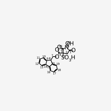 O=C1CC(C(=O)OCC2c3ccccc3-c3ccccc32)(S(=O)(=O)O)C(=O)N1O